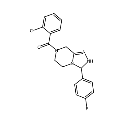 O=C(c1ccccc1Cl)N1CCN2C(=NNC2c2ccc(F)cc2)C1